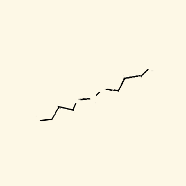 OCCCOOOCCCO